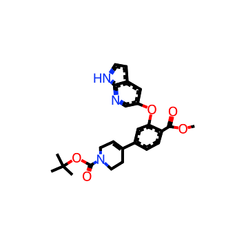 COC(=O)c1ccc(C2=CCN(C(=O)OC(C)(C)C)CC2)cc1Oc1cnc2[nH]ccc2c1